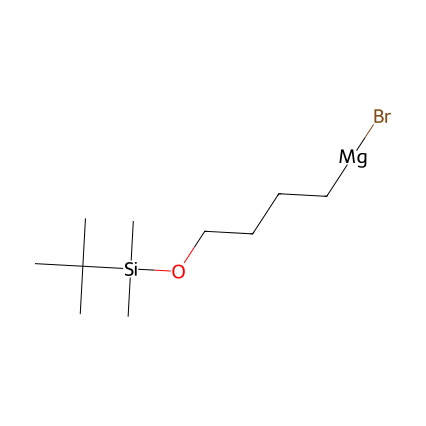 CC(C)(C)[Si](C)(C)OCCC[CH2][Mg][Br]